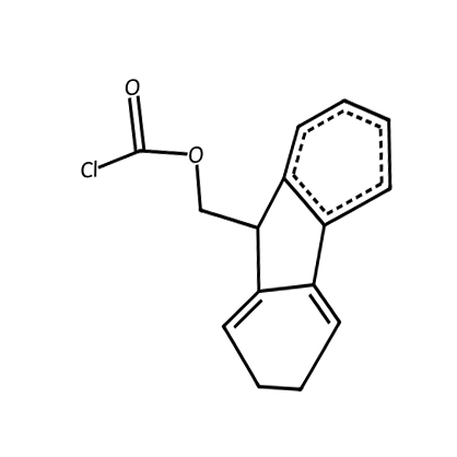 O=C(Cl)OCC1C2=CCCC=C2c2ccccc21